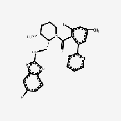 Cc1cc(F)c(C(=O)N2CCC[C@@H](C)[C@H]2CNc2nc3cc(F)ccc3o2)c(-c2ncccn2)c1